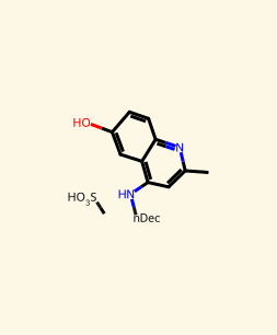 CCCCCCCCCCNc1cc(C)nc2ccc(O)cc12.CS(=O)(=O)O